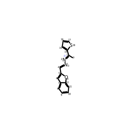 C/C(=N\N=Cc1cc2ccccc2o1)c1cccs1